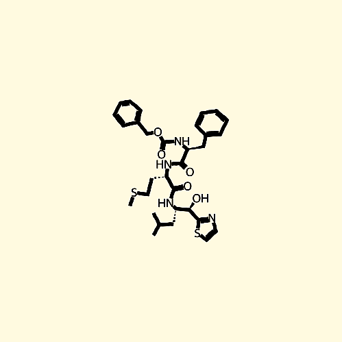 CSCC[C@H](NC(=O)[C@H](Cc1ccccc1)NC(=O)OCc1ccccc1)C(=O)N[C@@H](CC(C)C)[C@@H](O)c1nccs1